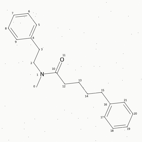 CN(CCc1ccccc1)C(=O)CCCCc1ccccc1